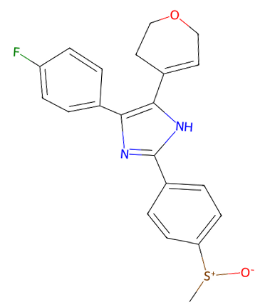 C[S+]([O-])c1ccc(-c2nc(-c3ccc(F)cc3)c(C3=CCOCC3)[nH]2)cc1